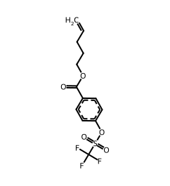 C=CCCCOC(=O)c1ccc(OS(=O)(=O)C(F)(F)F)cc1